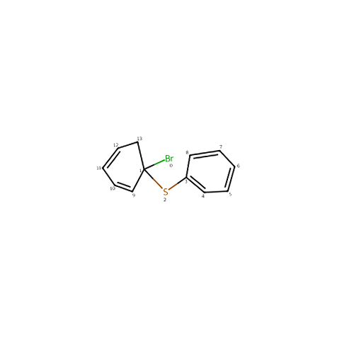 BrC1(Sc2ccccc2)C=CC=CC1